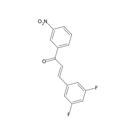 O=C(/C=C/c1cc(F)cc(F)c1)c1cccc([N+](=O)[O-])c1